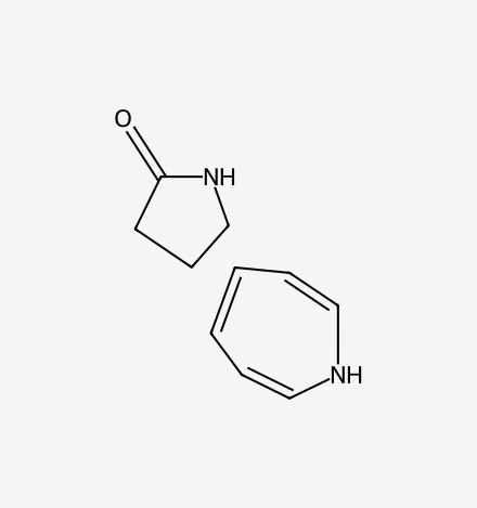 C1=CC=CNC=C1.O=C1CCCN1